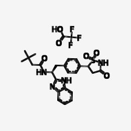 CC(C)(C)CC(=O)N[C@@H](Cc1ccc(C2CC(=O)NS2(=O)=O)cc1)c1nc2ccccc2[nH]1.O=C(O)C(F)(F)F